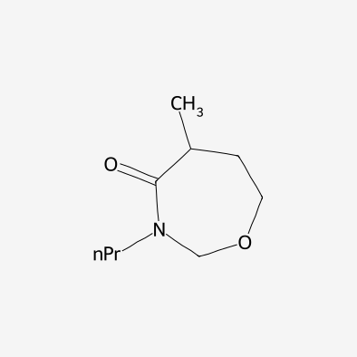 CCCN1COCCC(C)C1=O